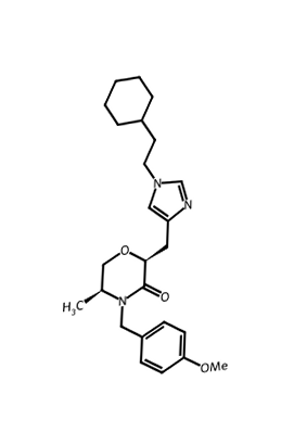 COc1ccc(CN2C(=O)[C@H](Cc3cn(CCC4CCCCC4)cn3)OC[C@@H]2C)cc1